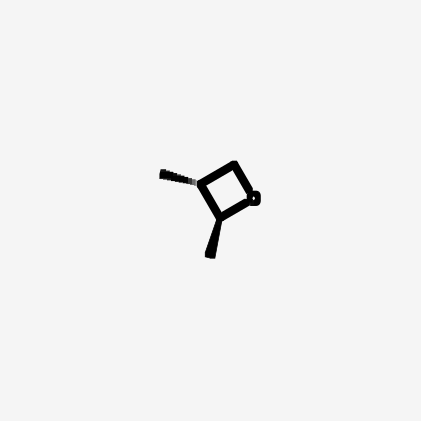 C[C@@H]1CO[C@H]1C